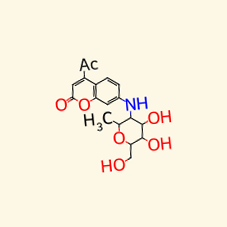 CC(=O)c1cc(=O)oc2cc(NC3C(C)OC(CO)C(O)C3O)ccc12